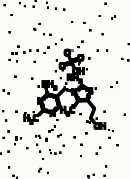 Cc1ncc(C[n+]2csc(CCO)c2C)c(N)n1.N.O=S(=O)([O-])O